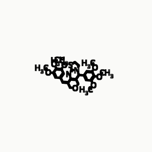 COc1cc(/C=C2/COCC3=C2N=C2SCCN2C3c2cc(OC)c(OC)c(OC)c2)cc(OC)c1OC